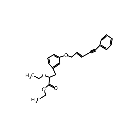 CCOC(=O)C(Cc1cccc(OCC=CC#Cc2ccccc2)c1)OCC